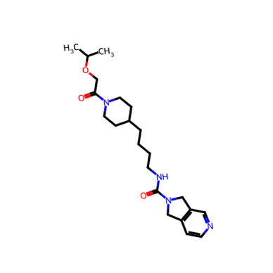 CC(C)OCC(=O)N1CCC(CCCCNC(=O)N2Cc3ccncc3C2)CC1